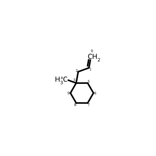 C=CCC1(C)CCCCC1